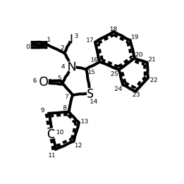 C#CC(I)N1C(=O)C(c2ccccc2)SC1c1cccc2ccccc12